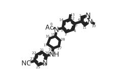 CC(=O)N(c1ccc(-c2cnn(C)c2)c(C)c1)C1CCC(Nc2ccc(C#N)cn2)CC1